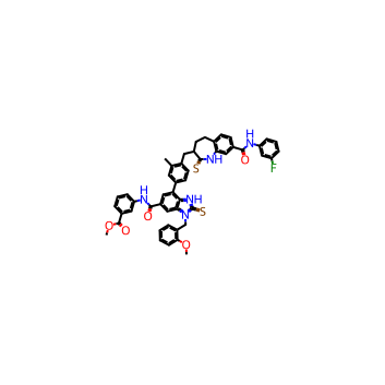 COC(=O)c1cccc(NC(=O)c2cc(-c3ccc(CC4CCc5ccc(C(=O)Nc6cccc(F)c6)cc5NC4=S)c(C)c3)c3[nH]c(=S)n(Cc4ccccc4OC)c3c2)c1